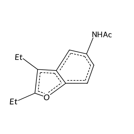 CCc1oc2ccc(NC(C)=O)cc2c1CC